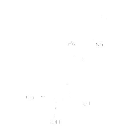 CC=C(N)NC(=O)Cc1cc(C)c(O)c(C(C)(C)C)c1